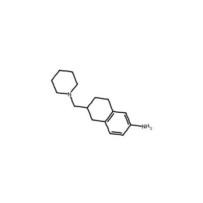 Nc1ccc2c(c1)CCC(CN1CCCCC1)C2